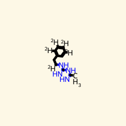 [2H]c1cc(CC([2H])NC(=N)NC(C)=N)c([2H])c([2H])c1[2H]